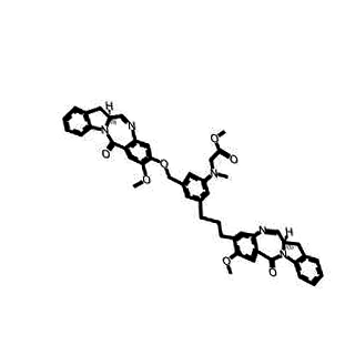 COC(=O)CN(C)c1cc(CCCc2cc3c(cc2OC)C(=O)N2c4ccccc4C[C@H]2C=N3)cc(COc2cc3c(cc2OC)C(=O)N2c4ccccc4C[C@H]2C=N3)c1